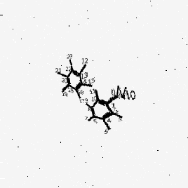 Cc1c(C)c(C)c(C)c(C)c1C.Cc1c(C)c(C)c(C)c(C)c1C.[Mo]